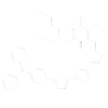 CCCCC(CC)CN1C(=O)C(N)=C(C)/C(=C/c2ccc(-c3ccc(-c4ccc(-c5ccc(N(c6ccccc6)c6ccccc6)cc5)s4)s3)s2)C1=O